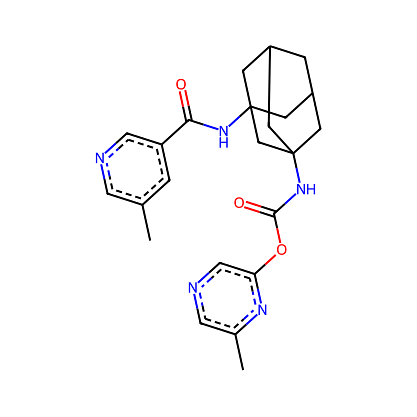 Cc1cncc(C(=O)NC23CC4CC(CC(NC(=O)Oc5cncc(C)n5)(C4)C2)C3)c1